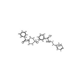 O=C(NCCC1CC2C=CC1C2)c1cccc(OC2CCN(C(=O)c3ccccc3)CC2)c1